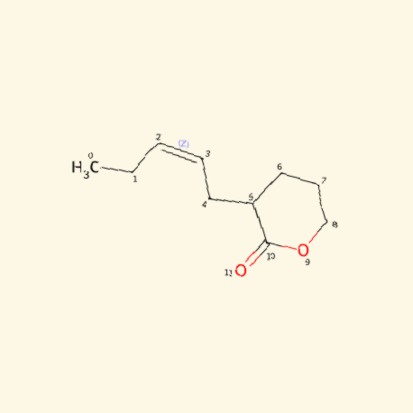 CC/C=C\CC1CCCOC1=O